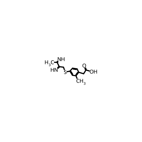 CC(=N)C(=N)CSc1ccc(CC(=O)O)c(C)c1